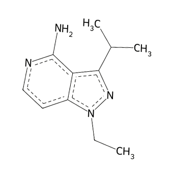 CCn1nc(C(C)C)c2c(N)nccc21